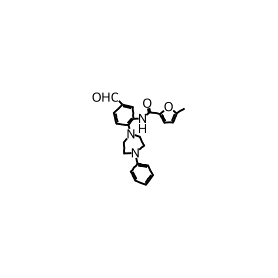 Cc1ccc(C(=O)Nc2cc(C=O)ccc2N2CCN(c3ccccc3)CC2)o1